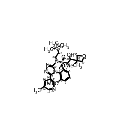 COc1cccc(OC)c1-n1c(-c2cncc(C)c2)nnc1N(CCS(C)(C)C)S(=O)(=O)C[C@@H](O)C1(C)COC1